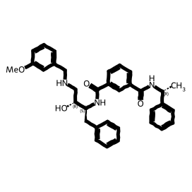 COc1cccc(CNC[C@@H](O)[C@H](Cc2ccccc2)NC(=O)c2cccc(C(=O)N[C@H](C)c3ccccc3)c2)c1